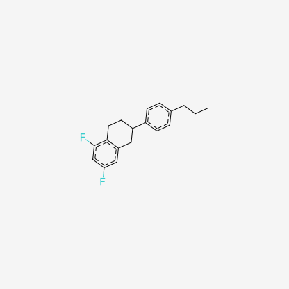 CCCc1ccc(C2CCc3c(F)cc(F)cc3C2)cc1